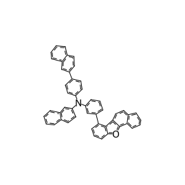 c1cc(-c2cccc3oc4c5ccccc5ccc4c23)cc(N(c2ccc(-c3ccc4ccccc4c3)cc2)c2ccc3ccccc3c2)c1